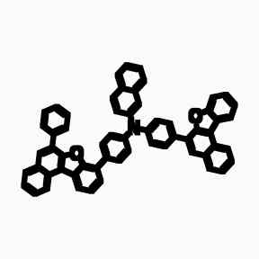 c1ccc(-c2cc3ccccc3c3c2oc2c(-c4ccc(N(c5ccc(-c6cc7ccccc7c7c6oc6ccccc67)cc5)c5ccc6ccccc6c5)cc4)cccc23)cc1